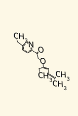 CC/C(=C\C=C(C)C)OCC(=O)c1ccc(CC)cn1